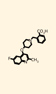 Cc1cc(OC2CCN(Cc3ccccc3C(=O)O)CC2)c2cc(F)ccc2n1